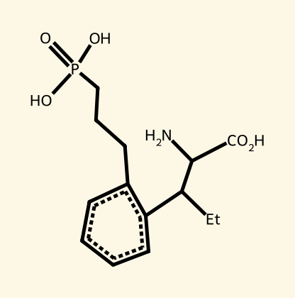 CCC(c1ccccc1CCCP(=O)(O)O)C(N)C(=O)O